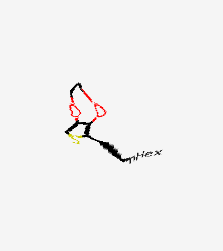 CCCCCCCCc1scc2c1OCCO2